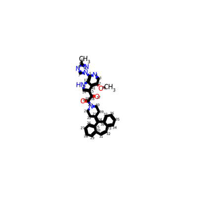 COc1cnc(-n2cnc(C)n2)c2[nH]cc(C(=O)C(=O)N3CCC(=C4c5ccccc5C=Cc5ccccc54)CC3)c12